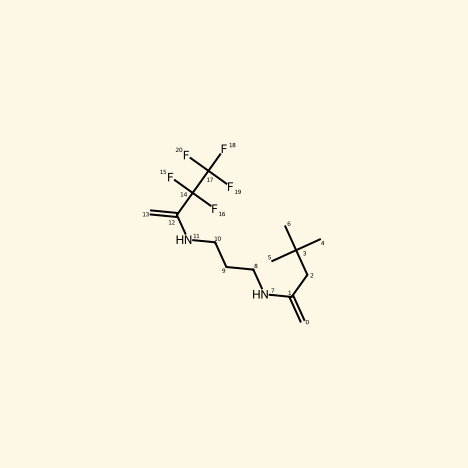 C=C(CC(C)(C)C)NCCCNC(=C)C(F)(F)C(F)(F)F